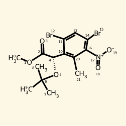 COC(=O)[C@@H](OC(C)(C)C)c1c(Br)cc(Br)c([N+](=O)[O-])c1C